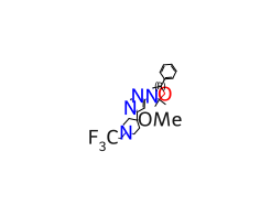 COC1(c2cc(N3C[C@@H](c4ccccc4)OC3(C)C)ncn2)CCN(CC(F)(F)F)CC1